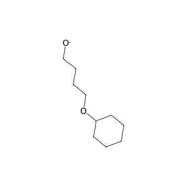 [O]CCCCOC1CCCCC1